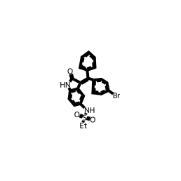 CCS(=O)(=O)Nc1ccc2c(c1)C(=C(c1ccccc1)c1ccc(Br)cc1)C(=O)N2